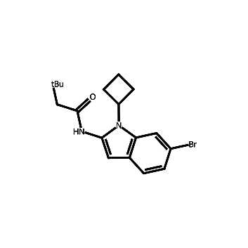 CC(C)(C)CC(=O)Nc1cc2ccc(Br)cc2n1C1CCC1